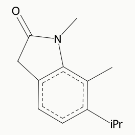 Cc1c(C(C)C)ccc2c1N(C)C(=O)C2